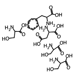 NC(CC(=O)O)C(=O)O.NC(CO)C(=O)O.NC(CO)C(=O)O.NC(CO)C(=O)O.NC(Cc1ccccc1)C(=O)O